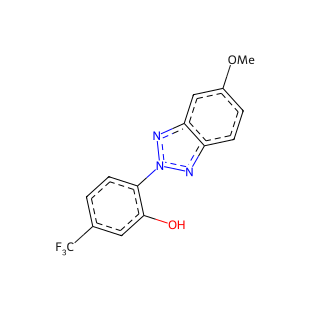 COc1ccc2nn(-c3ccc(C(F)(F)F)cc3O)nc2c1